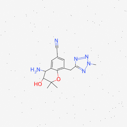 Cn1nnc(Cc2cc(C#N)cc3c2OC(C)(C)C(O)C3N)n1